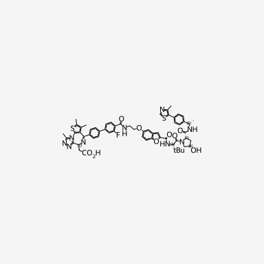 Cc1ncsc1-c1ccc([C@H](C)NC(=O)[C@@H]2C[C@@H](O)CN2C(=O)[C@@H](NC(=O)c2cc3cc(OCCNC(=O)c4ccc(-c5ccc(C6=N[C@@H](CC(=O)O)c7nnc(C)n7-c7sc(C)c(C)c76)cc5)cc4F)ccc3o2)C(C)(C)C)cc1